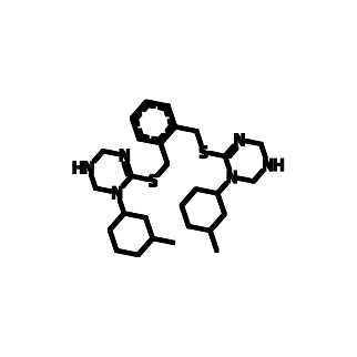 CC1CCCC(N2CNCN=C2SCc2ccccc2CSC2=NCNCN2C2CCCC(C)C2)C1